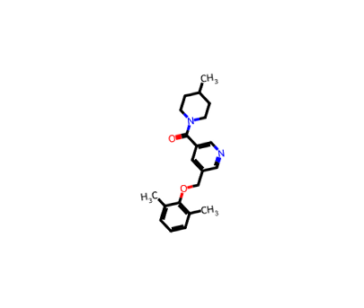 Cc1cccc(C)c1OCc1cncc(C(=O)N2CCC(C)CC2)c1